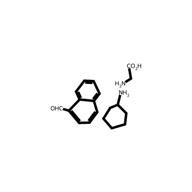 NC1CCCCC1.NCC(=O)O.O=Cc1cccc2ccccc12